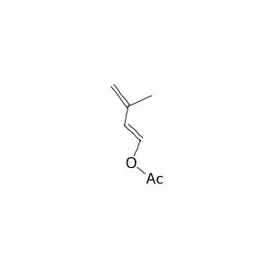 C=C(C)C=COC(C)=O